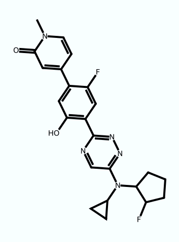 Cn1ccc(-c2cc(O)c(-c3ncc(N(C4CC4)C4CCCC4F)nn3)cc2F)cc1=O